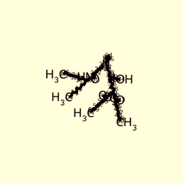 CCCCCCCCC(CCCCCCCC)CNC(=O)CCCCCN(CCCCN(CCO)CCCCC(COC(=O)CCCCCCC)COC(=O)CCCCCCC)C1CCC1